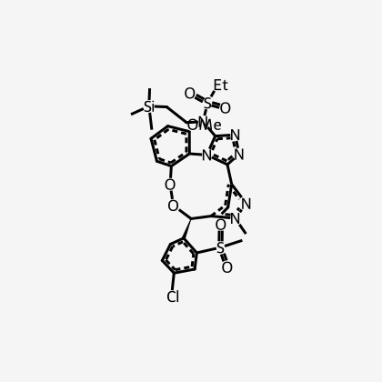 CCS(=O)(=O)N(CC[Si](C)(C)C)c1nnc2n1-c1c(OC)cccc1OO[C@H](c1ccc(Cl)cc1S(C)(=O)=O)c1cc-2nn1C